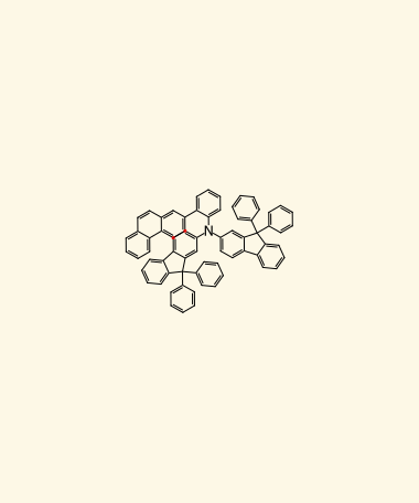 c1ccc(C2(c3ccccc3)c3ccccc3-c3ccc(N(c4ccc5c(c4)C(c4ccccc4)(c4ccccc4)c4ccccc4-5)c4ccccc4-c4ccc5c(ccc6ccccc65)c4)cc32)cc1